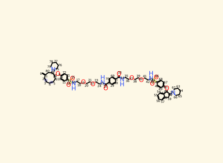 C=C1/C=C\C=C/C[C@H](Oc2ccc(S(=O)(=O)NCCOCCOCCNC(=O)c3ccc(C(=O)NCCOCCOCCNS(=O)(=O)c4ccc(O[C@H]5c6ccccc6C[C@@H]5N5CCCCC5)cc4)cc3)cc2)[C@@H](N2CCCCC2)C1